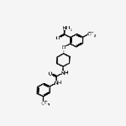 NC(=O)c1cc(C(F)(F)F)ccc1O[C@H]1CC[C@H](NC(=O)Nc2cccc(C(F)(F)F)c2)CC1